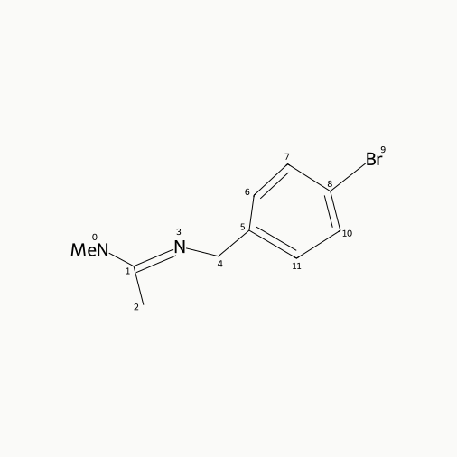 CN/C(C)=N/Cc1ccc(Br)cc1